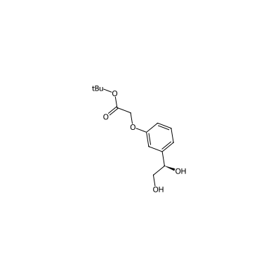 CC(C)(C)OC(=O)COc1cccc([C@@H](O)CO)c1